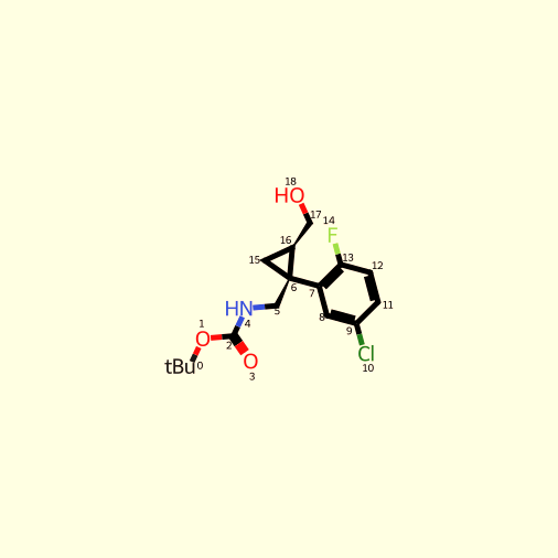 CC(C)(C)OC(=O)NC[C@@]1(c2cc(Cl)ccc2F)C[C@H]1CO